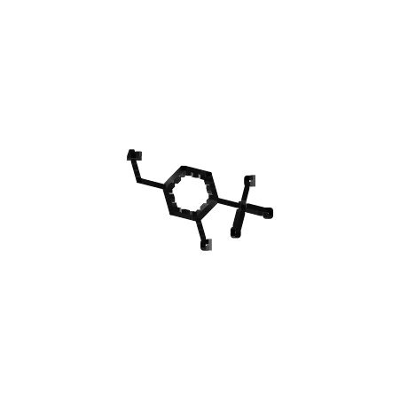 CC(=O)Cc1ccc(S(=O)(=O)Cl)c(Cl)c1